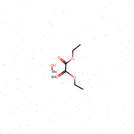 CC(C)(C)O.CCOC(=O)C(=O)OCC.[KH]